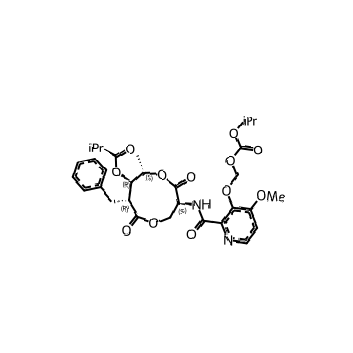 COc1ccnc(C(=O)N[C@H]2COC(=O)[C@H](Cc3ccccc3)[C@@H](OC(=O)C(C)C)[C@H](C)OC2=O)c1OCOC(=O)OC(C)C